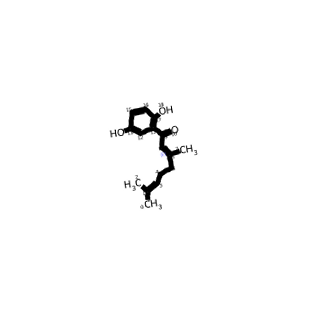 CC(C)=CCC/C(C)=C/C(=O)c1cc(O)ccc1O